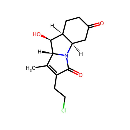 CC1=C(CCCl)C(=O)N2[C@@H]3CC(=O)CC[C@@H]3[C@H](O)[C@@H]12